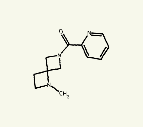 CN1CCC12CN(C(=O)c1ccccn1)C2